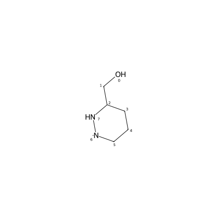 OCC1CCC[N]N1